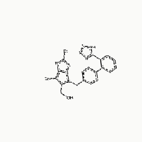 CCc1nc2c(CC)c(CO)n(Cc3ccc(-c4ccccc4-c4nnn[nH]4)cc3)n2n1